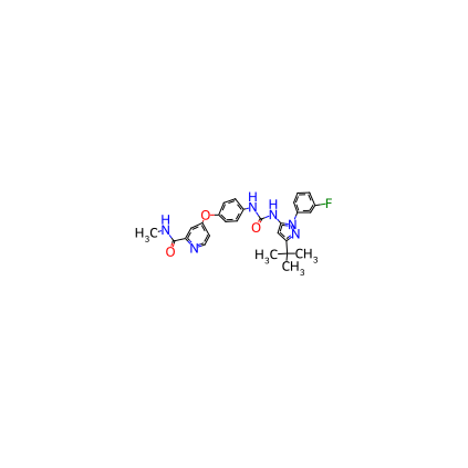 CNC(=O)c1cc(Oc2ccc(NC(=O)Nc3cc(C(C)(C)C)nn3-c3cccc(F)c3)cc2)ccn1